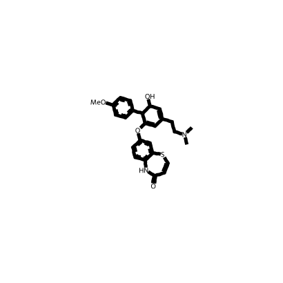 COc1ccc(C2C(Oc3ccc4c(c3)SC=CC(=O)N4)=CC(CCN(C)C)=CC2O)cc1